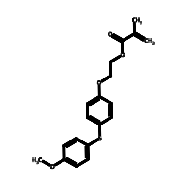 C=C(C)C(=O)OCCOc1ccc(Sc2ccc(OC)cc2)cc1